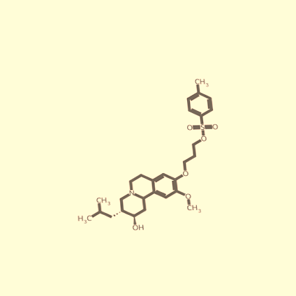 COc1cc2c(cc1OCCCOS(=O)(=O)c1ccc(C)cc1)CCN1C[C@@H](CC(C)C)[C@H](O)CC21